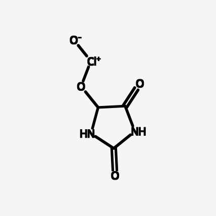 O=C1NC(=O)C(O[Cl+][O-])N1